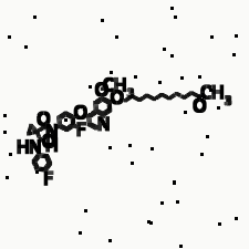 COc1cc2c(Oc3ccc(NC(=O)C4(C(=O)Nc5ccc(F)cc5)CC4)cc3F)ccnc2cc1OCCCCCCCCCCC(C)=O